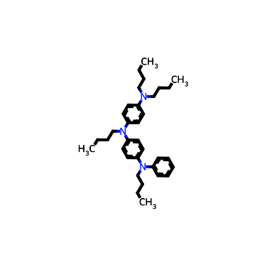 CCCCN(CCCC)c1ccc(N(CCCC)c2ccc(N(CCCC)c3ccccc3)cc2)cc1